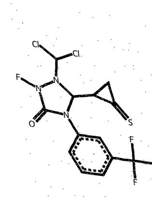 O=C1N(c2cccc(C(F)(F)F)c2)C(C2CC2=S)N(C(Cl)Cl)N1F